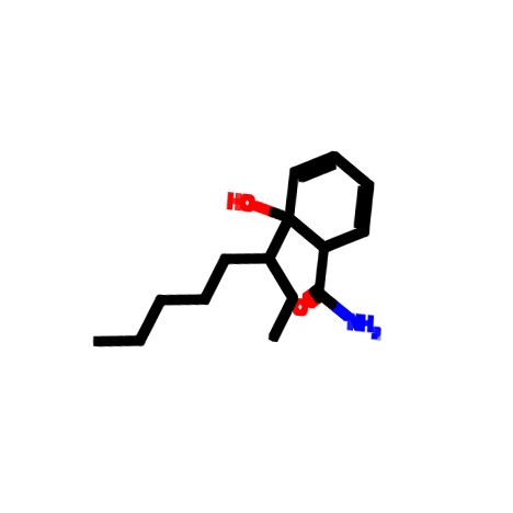 CCCCCC(CC)C1(O)C=CC=CC1C(N)=O